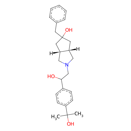 CC(C)(O)c1ccc(C(O)CN2C[C@@H]3CC(O)(Cc4ccccc4)C[C@@H]3C2)cc1